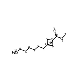 COC(=O)C12CC(CCCCCCO)(C1)C2